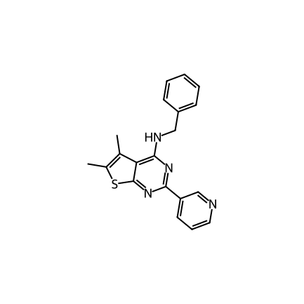 Cc1sc2nc(-c3cccnc3)nc(NCc3ccccc3)c2c1C